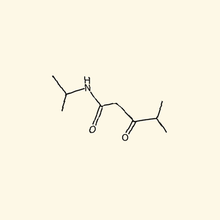 CC(C)NC(=O)CC(=O)C(C)C